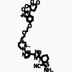 C[C@H]1CN(CCOCCOc2ccc3c(c2)n(C)c(=O)n3C2CCC(=O)NC2=O)CCCN1c1nccc(-c2noc([C@@]3(C)CCCc4sc(N)c(C#N)c43)n2)n1